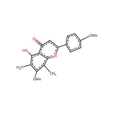 COc1ccc(-c2cc(=O)c3c(O)c(C)c(OC)c(C)c3o2)cc1